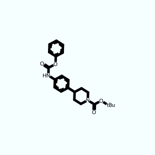 CC(C)(C)OC(=O)N1CCC(c2ccc(NC(=O)Oc3ccccc3)cc2)CC1